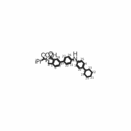 CC(C)C(C(=O)O)N1Cc2ccc(-c3ccc(Nc4ccc(C5CCCCC5)cc4)cc3)cc2C1=O